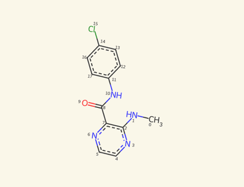 CNc1nccnc1C(=O)Nc1ccc(Cl)cc1